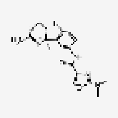 CN(C)c1nc(C(=O)Nc2ccc(F)c([C@]3(C)CCSC(N)=N3)c2)co1